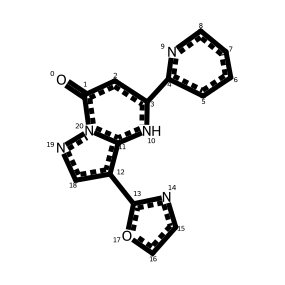 O=c1cc(-c2ccccn2)[nH]c2c(-c3ncco3)cnn12